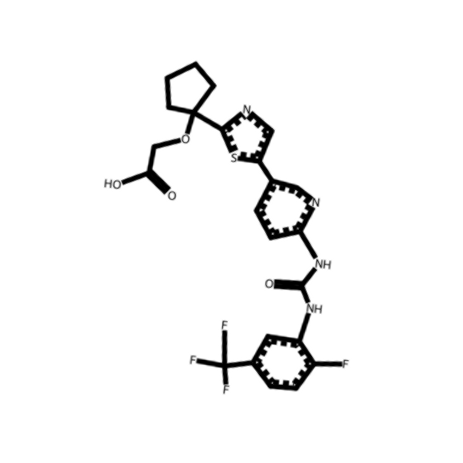 O=C(O)COC1(c2ncc(-c3ccc(NC(=O)Nc4cc(C(F)(F)F)ccc4F)nc3)s2)CCCC1